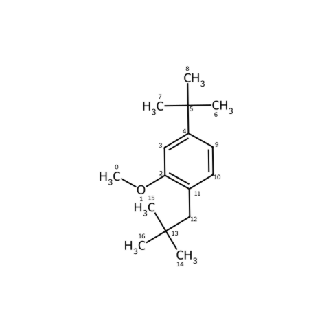 COc1cc(C(C)(C)C)ccc1CC(C)(C)C